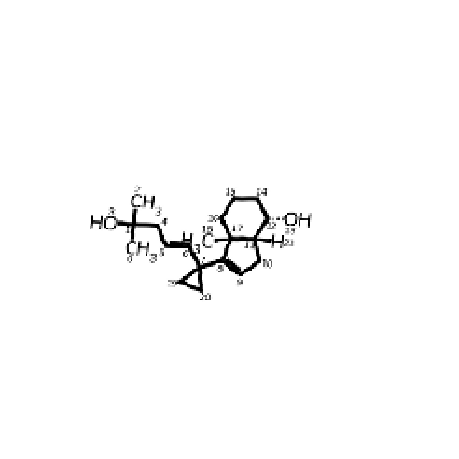 CC(C)(O)C/C=C/C1(C2=CC[C@H]3[C@@H](O)CCC[C@@]23C)CC1